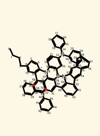 CCCCc1ccc(N2c3c#cc(N(c4ccccc4)c4ccccc4)cc3B3c4c(cc(N(c5ccccc5)c5ccccc5)cc42)-c2cccc4c5cc6ccccc6cc5n3c24)c(C2=CC=CCC2)c1